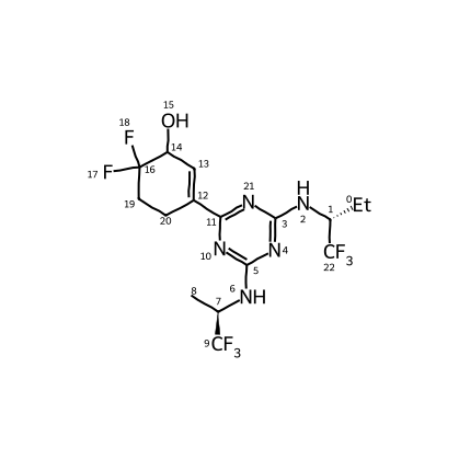 CC[C@@H](Nc1nc(N[C@H](C)C(F)(F)F)nc(C2=CC(O)C(F)(F)CC2)n1)C(F)(F)F